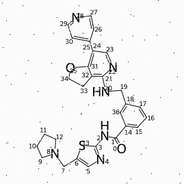 O=C(Nc1ncc(CN2CCCC2)s1)c1cccc(CNc2ncc(-c3ccncc3)c3c2CCO3)c1